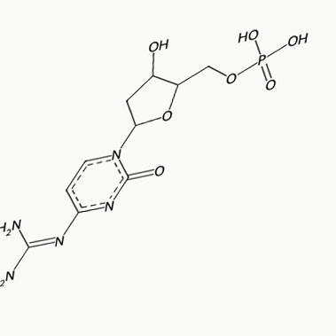 NC(N)=Nc1ccn(C2CC(O)C(COP(=O)(O)O)O2)c(=O)n1